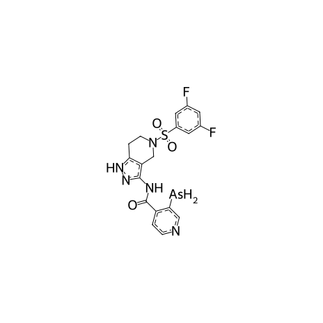 O=C(Nc1n[nH]c2c1CN(S(=O)(=O)c1cc(F)cc(F)c1)CC2)c1ccncc1[AsH2]